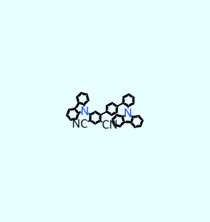 N#Cc1cc(C#N)c(-n2c3ccccc3c3ccccc32)cc1-c1ccc(-c2ccccc2-n2c3ccccc3c3ccccc32)cc1